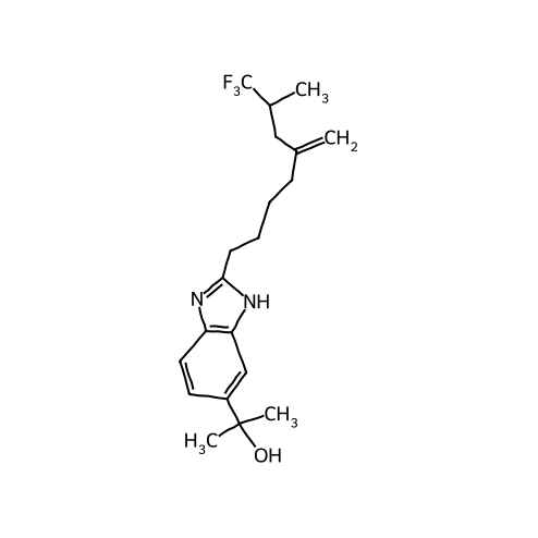 C=C(CCCCc1nc2ccc(C(C)(C)O)cc2[nH]1)CC(C)C(F)(F)F